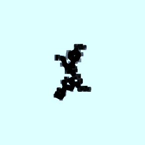 COC(=O)c1cc(-c2cccs2)cnc1Nc1nc(CCC(C)C)c(-c2ccc(SC)cc2)s1